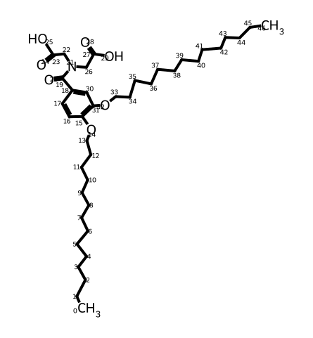 CCCCCCCCCCCCCCOc1ccc(C(=O)N(CC(=O)O)CC(=O)O)cc1OCCCCCCCCCCCCCC